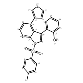 Cc1ccc(S(=O)(=O)n2cc(-c3ccccc3O)c3c(-c4ccsc4)ccnc32)cc1